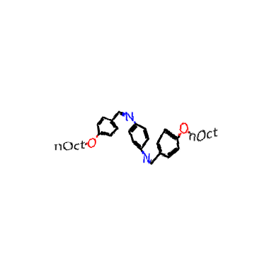 CCCCCCCCOc1ccc(/C=N\c2ccc(/N=C\c3ccc(OCCCCCCCC)cc3)cc2)cc1